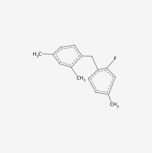 Cc1ccc(Cc2ccc(C)cc2F)c(C)c1